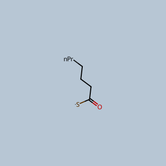 CCCCCCC(=O)[S]